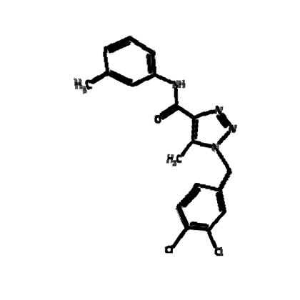 Cc1cccc(NC(=O)c2nnn(Cc3ccc(Cl)c(Cl)c3)c2C)c1